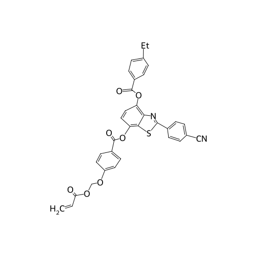 C=CC(=O)OCOc1ccc(C(=O)Oc2ccc(OC(=O)c3ccc(CC)cc3)c3nc(-c4ccc(C#N)cc4)sc23)cc1